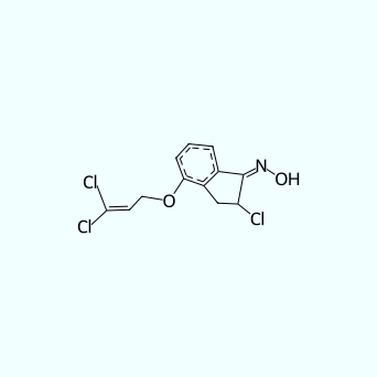 ON=C1c2cccc(OCC=C(Cl)Cl)c2CC1Cl